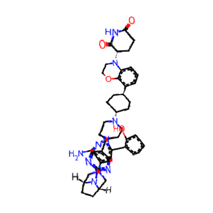 Nc1nnc(-c2ccccc2O)cc1N1C[C@H]2CC[C@@H](C1)N2c1ncc(C2CCN([C@H]3CC[C@H](c4cccc5c4OCCN5[C@H]4CCC(=O)NC4=O)CC3)CC2)cn1